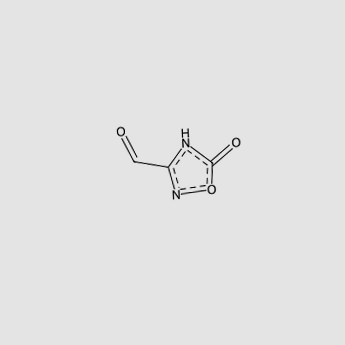 O=Cc1noc(=O)[nH]1